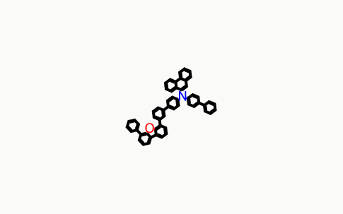 c1ccc(-c2ccc(N(c3ccc(-c4cccc(-c5cccc6c5oc5c(-c7ccccc7)cccc56)c4)cc3)c3cc4ccccc4c4ccccc34)cc2)cc1